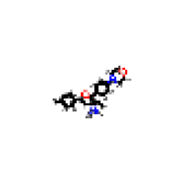 CCC(CCc1ccc(C)cc1)(C(=O)c1ccc(N2CCOCC2)cc1)N(C)C